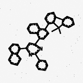 CC1(C)c2ccccc2-c2cccc(-c3ccc(-c4cc(-c5cccc6ccccc56)nc(-c5ccccc5)n4)c4ccccc34)c21